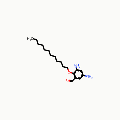 CCCCCCCCCCCCOc1c(N)cc(N)cc1[C]=O